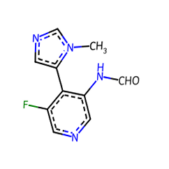 Cn1cncc1-c1c(F)cncc1NC=O